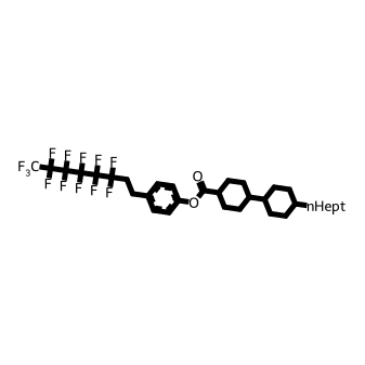 CCCCCCCC1CCC(C2CCC(C(=O)Oc3ccc(CCC(F)(F)C(F)(F)C(F)(F)C(F)(F)C(F)(F)C(F)(F)F)cc3)CC2)CC1